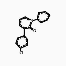 O=c1c(-c2ccc(Cl)cc2)cccn1-c1ccccc1